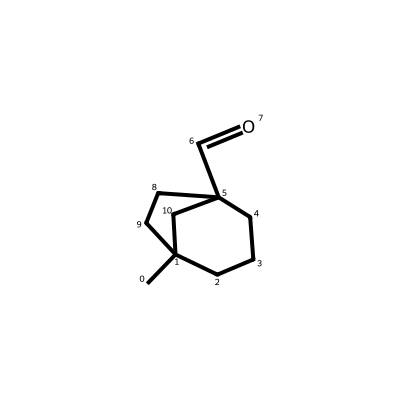 CC12CCCC(C=O)(CC1)C2